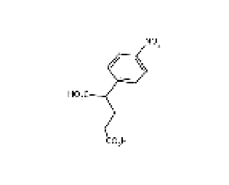 O=C(O)CCC(C(=O)O)c1ccc([N+](=O)[O-])cc1